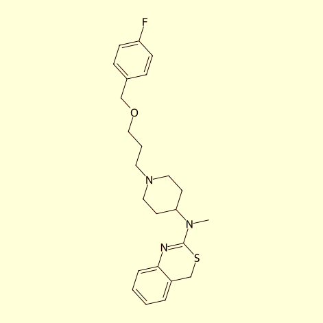 CN(C1=Nc2ccccc2CS1)C1CCN(CCCOCc2ccc(F)cc2)CC1